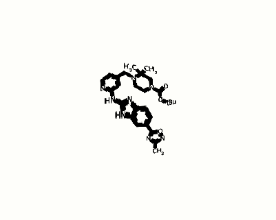 Cc1noc(-c2ccc3nc(Nc4cc(CN5CCN(C(=O)OC(C)(C)C)CC5(C)C)ccn4)[nH]c3c2)n1